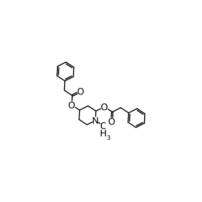 CN1CCC(OC(=O)Cc2ccccc2)CC1OC(=O)Cc1ccccc1